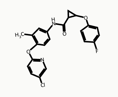 Cc1cc(NC(=O)C2CC2Oc2ccc(F)cc2)ccc1Oc1ccc(Cl)cn1